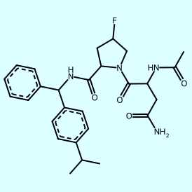 CC(=O)NC(CC(N)=O)C(=O)N1CC(F)CC1C(=O)NC(c1ccccc1)c1ccc(C(C)C)cc1